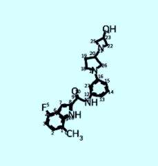 Cc1ccc(F)c2cc(C(=O)Nc3cccc(N4CCC(N5CC(O)C5)C4)c3)[nH]c12